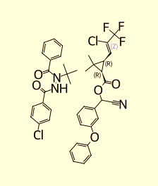 CC(C)(C)N(NC(=O)c1ccc(Cl)cc1)C(=O)c1ccccc1.CC1(C)[C@H](C(=O)OC(C#N)c2cccc(Oc3ccccc3)c2)[C@@H]1/C=C(\Cl)C(F)(F)F